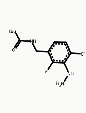 CC(C)(C)C(=O)NCc1ccc(Cl)c(NN)c1F